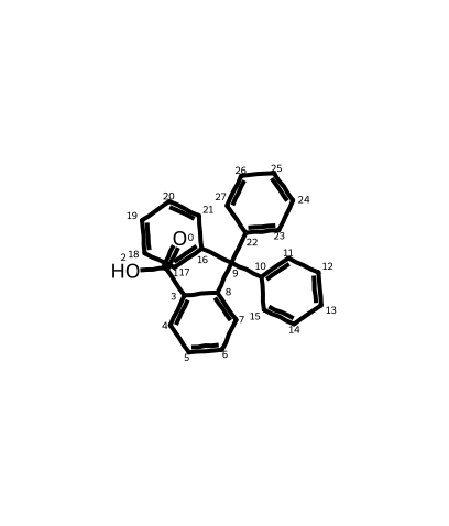 O=C(O)c1ccccc1C(c1ccccc1)(c1ccccc1)c1ccccc1